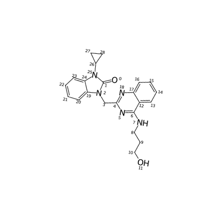 O=c1n(Cc2nc(NCCCO)c3ccccc3n2)c2ccccc2n1C1CC1